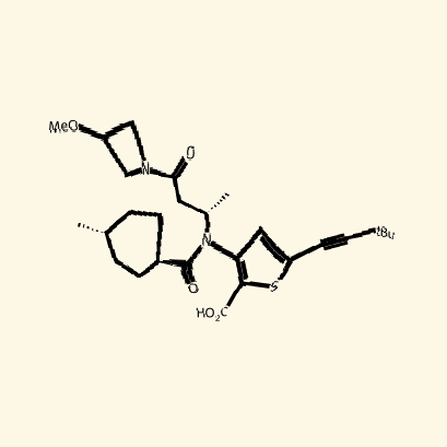 COC1CN(C(=O)C[C@H](C)N(c2cc(C#CC(C)(C)C)sc2C(=O)O)C(=O)[C@H]2CC[C@H](C)CC2)C1